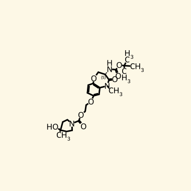 CN1C(=O)[C@@H](NC(=O)OC(C)(C)C)COc2ccc(OCCOC(=O)N3CCC(C)(O)CC3)cc21